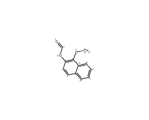 COc1c(O[C]=O)ccc2ccccc12